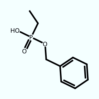 CCP(=O)(O)OCc1ccccc1